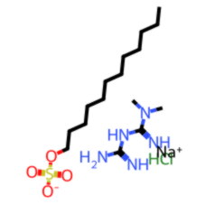 CCCCCCCCCCCCOS(=O)(=O)[O-].CN(C)C(=N)NC(=N)N.Cl.[Na+]